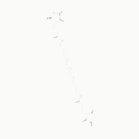 C=C1CC(=O)N(CCC(=O)NCCNCCNCCNCCNC(=O)CCN2C(=O)CC(=C)C2=O)C1=O